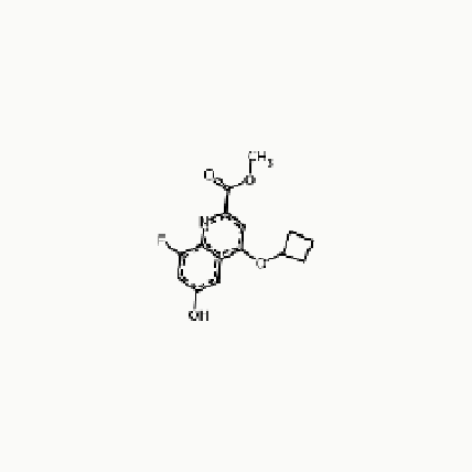 COC(=O)c1cc(OC2CCC2)c2cc(O)cc(F)c2n1